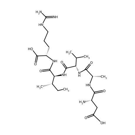 CC[C@H](C)[C@H](NC(=O)[C@@H](NC(=O)[C@H](C)NC(=O)[C@@H](N)CC(=O)O)C(C)C)C(=O)N[C@@H](CCCNC(=N)N)C(=O)O